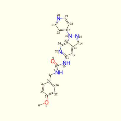 COc1ccc(CNC(=O)Nc2cc3cnn(-c4ccncc4)c3cn2)cc1